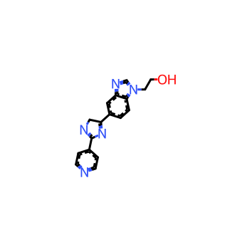 OCCn1cnc2cc(C3=NC(c4ccncc4)=NC3)ccc21